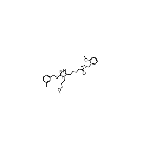 COCCCn1c(CCCCC(=O)NCc2ccccc2OC)nnc1SCc1cccc(C)c1